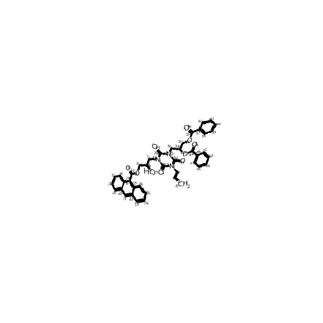 C=CCn1c(=O)n(CC(O)COC(=O)c2c3ccccc3cc3ccccc23)c(=O)n(CC(COC(=O)c2ccccc2)OC(=O)c2ccccc2)c1=O